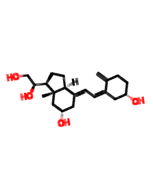 C=C1CC[C@H](O)C/C1=C/C=C1\C[C@H](O)C[C@]2(C)[C@@H]([C@@H](O)CO)CC[C@@H]12